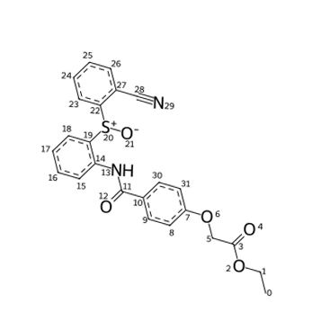 CCOC(=O)COc1ccc(C(=O)Nc2ccccc2[S+]([O-])c2ccccc2C#N)cc1